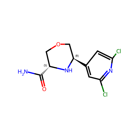 NC(=O)[C@@H]1COC[C@@H](c2cc(Cl)nc(Cl)c2)N1